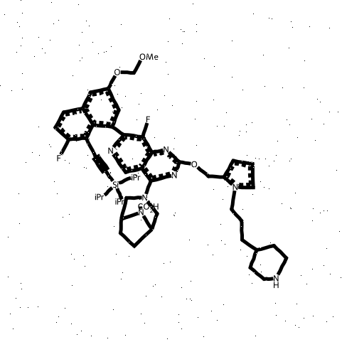 COCOc1cc(-c2ncc3c(N4CC5CCC(C4)N5C(=O)O)nc(OCc4cccn4CCCC4CCNCC4)nc3c2F)c2c(C#C[Si](C(C)C)(C(C)C)C(C)C)c(F)ccc2c1